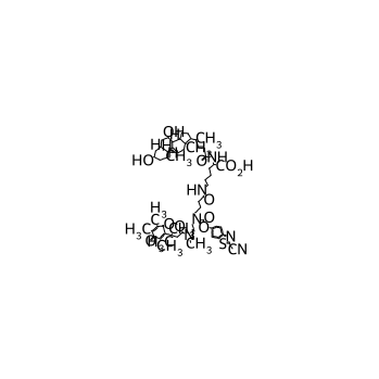 CC1=C(C)C(=O)C(C(C)(C)CC(=O)N(C)CCN(CCCC(=O)NCCCCC(NC(=O)CC[C@@H](C)C2CC[C@H]3[C@@H]4[C@H](O)C[C@@H]5C[C@H](O)CC[C@]5(C)[C@H]4CC[C@]23C)C(=O)O)C(=O)Oc2ccc3nc(C#N)sc3c2)=C(C)C1=O